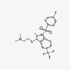 Cc1c(SCCN(C)C)c2cc(C(F)(F)F)ccc2n1S(=O)(=O)c1ccc(F)cc1